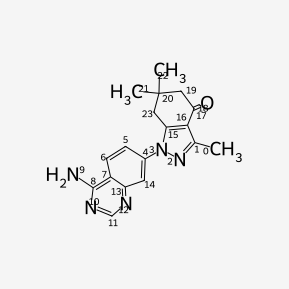 Cc1nn(-c2ccc3c(N)ncnc3c2)c2c1C(=O)CC(C)(C)C2